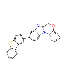 c1ccc2c(c1)OCc1nc3cc(-c4ccc5sc6ccccc6c5c4)ccc3n1-2